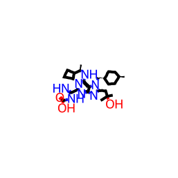 C[C@@H](Nc1nc(C(=N)NC(=O)O)nc2nc(CC(C)(C)O)n(C[C@H]3CC[C@H](C)CC3)c12)C1CCC1